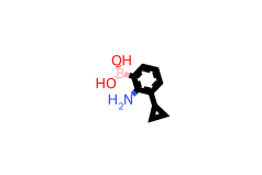 Nc1c(B(O)O)cccc1C1CC1